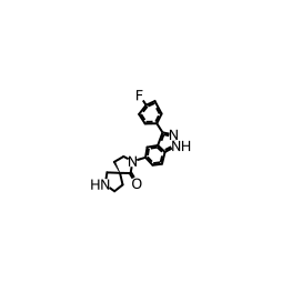 O=C1N(c2ccc3[nH]nc(-c4ccc(F)cc4)c3c2)CC[C@]12CCNC2